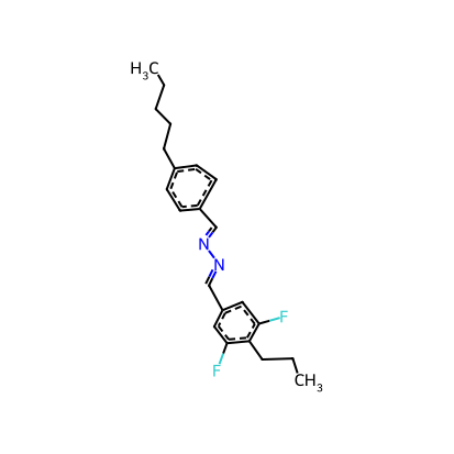 CCCCCc1ccc(C=NN=Cc2cc(F)c(CCC)c(F)c2)cc1